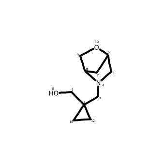 OCC1(CN2CC3CC2CO3)CC1